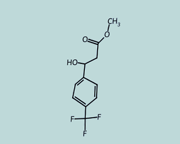 COC(=O)CC(O)c1ccc(C(F)(F)F)cc1